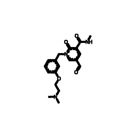 CNC(=O)c1cc(C=O)cn(Cc2cccc(OCCN(C)C)c2)c1=O